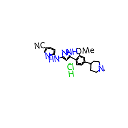 COc1cc(C2CCN(C)CC2)ccc1-c1cc(Nc2ccc(C#N)cn2)n[nH]1.Cl